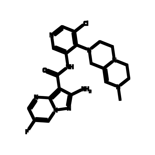 CN1C=C2CN(c3c(Cl)cncc3NC(=O)c3c(N)nn4cc(F)cnc34)CCN2CC1